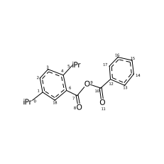 CC(C)c1ccc(C(C)C)c(C(=O)OC(=O)c2ccccc2)c1